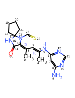 CC(/C=C(\C)Nc1cc(N)ncn1)=C1\C(=O)NC2(CCCC2)N1C=S